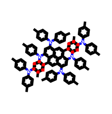 Cc1ccc(N(c2ccc(C)cc2)c2ccc(-c3cc4c(N(c5ccc(C)cc5)c5ccc(C)cc5)cc(N(c5ccc(C)cc5)c5ccc(C)cc5)c5c(-c6ccc(N(c7ccc(C)cc7)c7ccc(C)cc7)cc6)cc6c(N(c7ccc(C)cc7)c7ccc(C)cc7)cc(N(c7ccc(C)cc7)c7ccc(C)cc7)c3c6c45)cc2)cc1